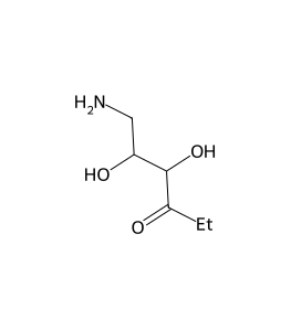 CCC(=O)C(O)C(O)CN